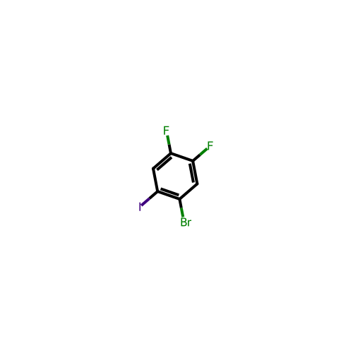 Fc1cc(Br)c(I)cc1F